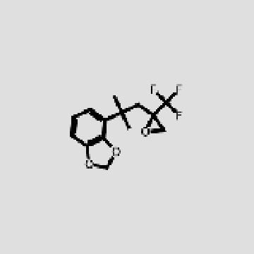 CC(C)(CC1(C(F)(F)F)CO1)c1cccc2c1OCO2